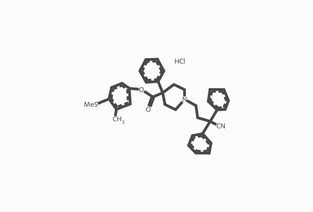 CSc1ccc(OC(=O)C2(c3ccccc3)CCN(CCC(C#N)(c3ccccc3)c3ccccc3)CC2)cc1C.Cl